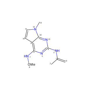 C=C(C)Nc1nc(NOC)c2ccn(C)c2n1